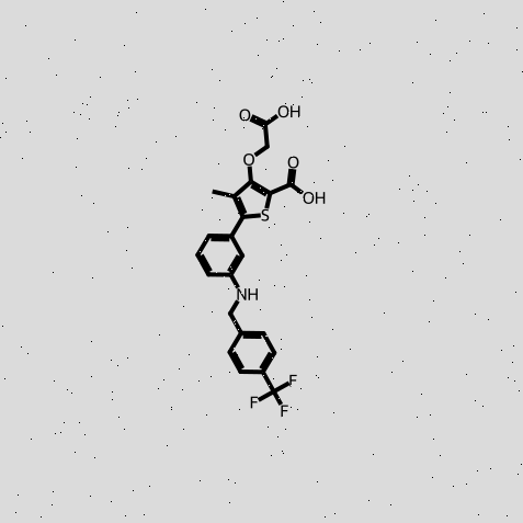 Cc1c(-c2cccc(NCc3ccc(C(F)(F)F)cc3)c2)sc(C(=O)O)c1OCC(=O)O